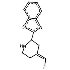 FC=C1CCNC(c2nc3ccccc3s2)C1